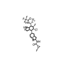 CC(NC(=O)C(F)(F)F)c1c(F)c(Cl)c(-c2ccn3nc(NC(=O)C4CC4F)cc3c2)c2cn[nH]c12